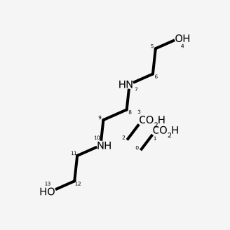 CC(=O)O.CC(=O)O.OCCNCCNCCO